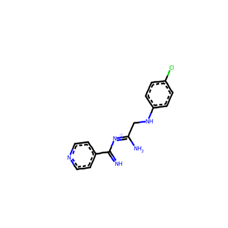 N=C(/N=C(\N)CNc1ccc(Cl)cc1)c1ccncc1